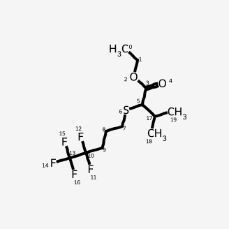 CCOC(=O)C(SCCCC(F)(F)C(F)(F)F)C(C)C